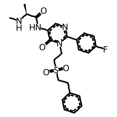 CN[C@@H](C)C(=O)Nc1cnc(-c2ccc(F)cc2)n(CCS(=O)(=O)CCc2ccccc2)c1=O